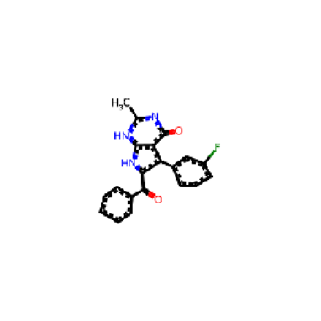 Cc1nc(=O)c2c(-c3cccc(F)c3)c(C(=O)c3ccccc3)[nH]c2[nH]1